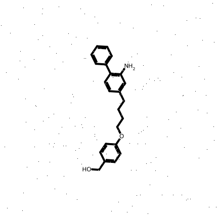 Nc1cc(CCCCOc2ccc(CO)cc2)ccc1-c1ccccc1